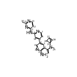 C=C(c1cc(-c2ccnc(Nc3ccnc(C)n3)c2)cnc1N)N(C)C12CC(C1)C2